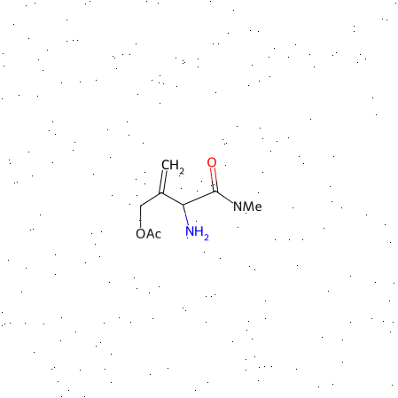 C=C(COC(C)=O)C(N)C(=O)NC